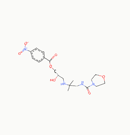 CC(C)(CNC(=O)N1CCOCC1)NCC(O)COC(=O)c1ccc([N+](=O)[O-])cc1